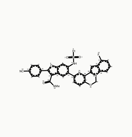 CCS(=O)(=O)Nc1cc2oc(-c3ccc(C#N)cc3)c(C(=O)NC)c2cc1-c1ccc2c(n1)-c1cc3c(F)cccc3n1CO2